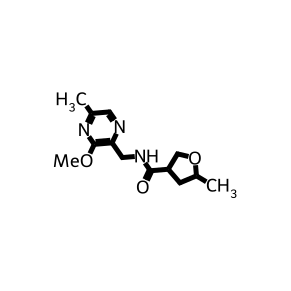 COc1nc(C)cnc1CNC(=O)C1COC(C)C1